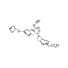 CCOC(=O)Cn1cc2c(n1)CCN(C(=O)[C@H](Cc1ccc(OCc3ccccc3)cc1)NC(=O)OC(C)(C)C)C2